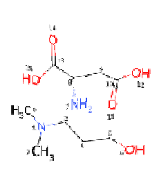 CN(C)CCCO.N[C@@H](CC(=O)O)C(=O)O